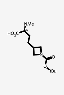 CN[C@@H](CCC1CN(C(=O)OC(C)(C)C)C1)C(=O)O